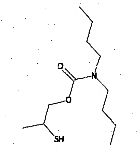 CCCCN(CCCC)C(=O)OCC(C)S